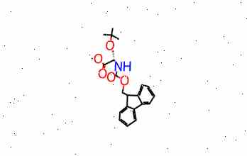 CC(C)(C)OC[C@H](NC(=O)OCC1c2ccccc2-c2ccccc21)C([O])=O